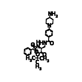 CC(C)(C)OC(=O)[C@H](CNC(=O)c1ccc(N2CCC(N)CC2)cc1)NS(=O)(=O)c1ccccc1